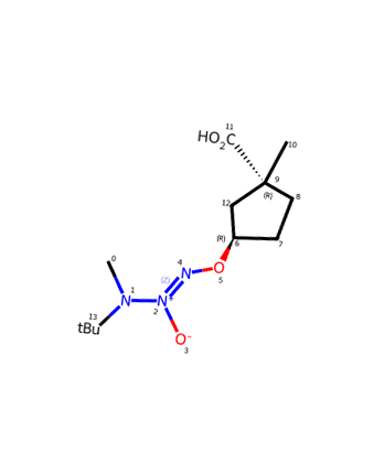 CN(/[N+]([O-])=N/O[C@@H]1CC[C@@](C)(C(=O)O)C1)C(C)(C)C